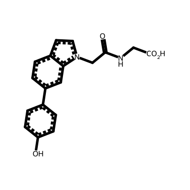 O=C(O)CNC(=O)Cn1ccc2ccc(-c3ccc(O)cc3)cc21